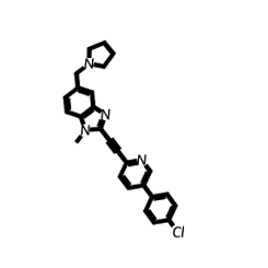 Cn1c(C#Cc2ccc(-c3ccc(Cl)cc3)cn2)nc2cc(CN3CCCC3)ccc21